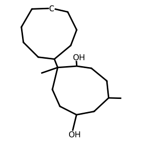 CC1CCC(O)C(C)(C2CCCCCCCC2)CCC(O)C1